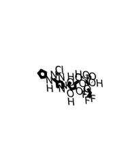 O=P(O)(O)[C@@](CO)(COCC(F)(F)F)OCC1O[C@@H](n2ncc3c(NC4CCCC4)nc(Cl)nc32)[C@H](O)[C@@H]1O